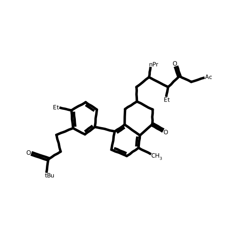 CCCC(CC1CC(=O)c2c(C)ccc(-c3ccc(CC)c(CCC(=O)C(C)(C)C)c3)c2C1)C(CC)C(=O)CC(C)=O